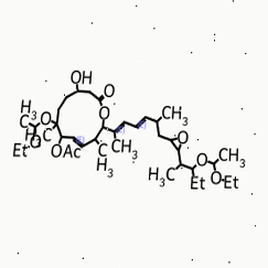 CCOC(C)OC(CC)C(C)C1OC1CC(C)/C=C/C=C(\C)C1OC(=O)CC(O)CCC(C)(OC(C)OCC)C(OC(C)=O)/C=C/C1C